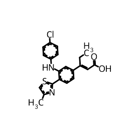 CC/C(=C\C(=O)O)c1ccc(-c2nc(C)cs2)c(Nc2ccc(Cl)cc2)c1